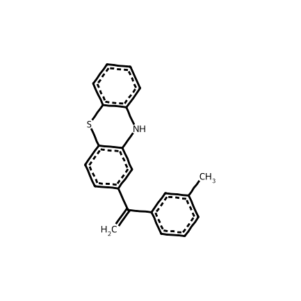 C=C(c1cccc(C)c1)c1ccc2c(c1)Nc1ccccc1S2